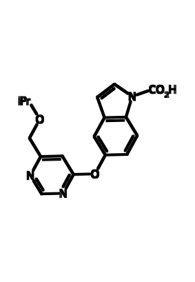 CC(C)OCc1cc(Oc2ccc3c(ccn3C(=O)O)c2)ncn1